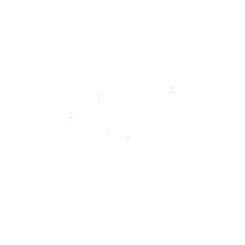 CC(=O)c1cccc(SC(F)F)c1